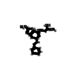 CC(O)CNC1=CN(SCc2ccccc2)Cc2nc(N)sc21